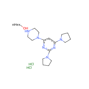 CCCCCCO.Cl.Cl.c1c(N2CCCC2)nc(N2CCCC2)nc1N1CCNCC1